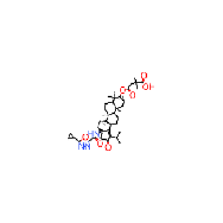 CC(C)C1=C2C3CCC4C5(C)CC[C@H](OC(=O)CC(C)(C)C(=O)O)C(C)(C)C5CCC4(C)[C@]3(C)CC[C@@]2(NC(=O)c2nnc(C3CC3)o2)CC1=O